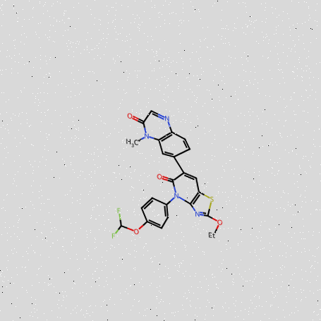 CCOc1nc2c(cc(-c3ccc4ncc(=O)n(C)c4c3)c(=O)n2-c2ccc(OC(F)F)cc2)s1